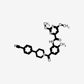 COc1cc(C(=O)Nc2cc(C(=O)N3CCC(c4ccc(C#N)cc4)CC3)ccc2C)nc(OC)n1